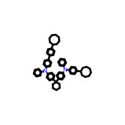 c1ccc(N(c2ccc(-c3ccc(C4CCCCCCC4)cc3)cc2)c2ccc(C3(c4ccc(N(c5ccccc5)c5ccc(C6CCCCCCC6)cc5)cc4)CCCCC3)cc2)cc1